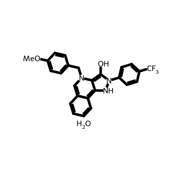 COc1ccc(CN2C=c3ccccc3=C3NN(c4ccc(C(F)(F)F)cc4)C(O)=C32)cc1.O